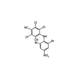 N#Cc1c(Cl)c(Cl)c(Nc2c(Br)cc([N+](=O)[O-])cc2Br)c(C#N)c1Cl